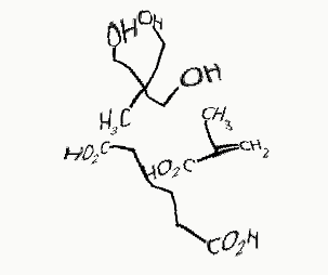 C=C(C)C(=O)O.CC(CO)(CO)CO.O=C(O)CCCCC(=O)O